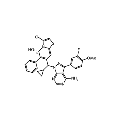 COc1ccc(-c2nn(C(C3=C(c4ccccc4)[C@H](O)N4C(Cl)=CSC4=C3)C3CC3)c3ncnc(N)c23)cc1F